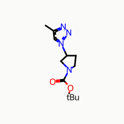 Cc1cn(C2CCN(C(=O)OC(C)(C)C)C2)nn1